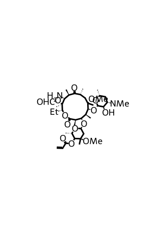 C=CC(=O)OC1[C@H](C)O[C@@H](O[C@H]2[C@H](C)[C@@H](O[C@@H]3O[C@H](C)C[C@H](NC)[C@H]3O)[C@](C)(OC)C[C@@H](C)C(=O)[C@H](C)[C@@H](N)[C@](C)(OC=O)[C@@H](CC)OC(=O)[C@@H]2C)C[C@@]1(C)OC